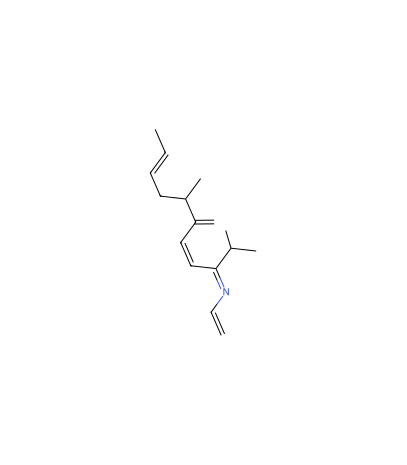 C=C/N=C(\C=C/C(=C)C(C)C/C=C/C)C(C)C